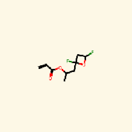 C=CC(=O)OC(C)CC1(F)CC(F)O1